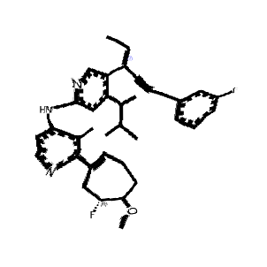 C/C=C(/C#Cc1cccc(F)c1)c1cnc(Nc2ccnc(C3=CCCC(OC)[C@H](F)C3)c2C)cc1C(C)C(C)C